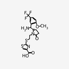 COc1ccc(C(F)(F)F)cc1C(N)[C@H]1CCC(=O)N1CCSc1nc(C(=O)O)cs1